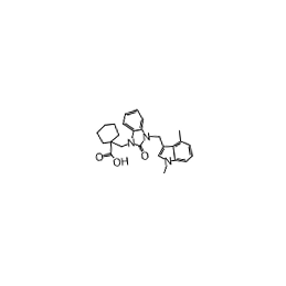 Cc1cccc2c1c(Cn1c(=O)n(CC3(C(=O)O)CCCCC3)c3ccccc31)cn2C